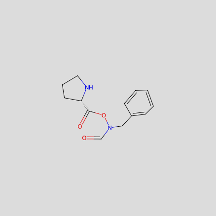 O=CN(Cc1ccccc1)OC(=O)[C@@H]1CCCN1